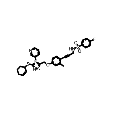 Cc1cc(OCc2nnc(SC3C=CCCC3)n2-c2cccnc2)ccc1C#CCNS(=O)(=O)c1ccc(F)cc1